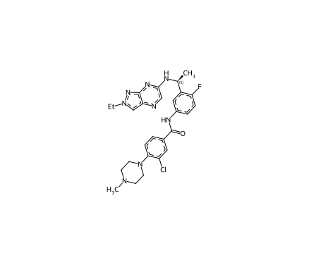 CCn1cc2ncc(N[C@@H](C)c3cc(NC(=O)c4ccc(N5CCN(C)CC5)c(Cl)c4)ccc3F)nc2n1